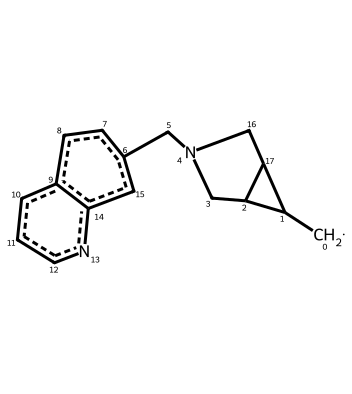 [CH2]C1C2CN(Cc3ccc4cccnc4c3)CC12